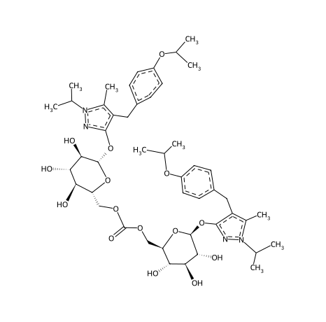 Cc1c(Cc2ccc(OC(C)C)cc2)c(O[C@@H]2O[C@H](COC(=O)OC[C@H]3O[C@@H](Oc4nn(C(C)C)c(C)c4Cc4ccc(OC(C)C)cc4)[C@H](O)[C@@H](O)[C@@H]3O)[C@@H](O)[C@H](O)[C@H]2O)nn1C(C)C